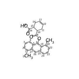 Cc1cccc2c(OC(=O)C3CC=CCC3C(=O)O)c3c(C)cccc3cc12